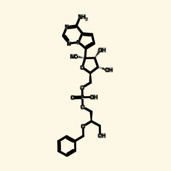 N#C[C@@]1(c2ccc3c(N)ncnn23)O[C@H](COP(=O)(O)OC[C@@H](CO)OCc2ccccc2)[C@@H](O)[C@H]1O